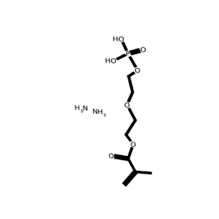 C=C(C)C(=O)OCCOCCOP(=O)(O)O.N.N